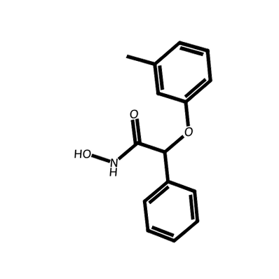 Cc1cccc(OC(C(=O)NO)c2ccccc2)c1